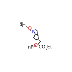 CCCOC(=Cc1ccc2c(ccn2COCC[Si](C)(C)C)c1)C(=O)OCC